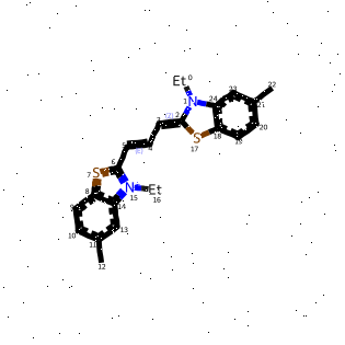 CCN1/C(=C/C=C/c2sc3ccc(C)cc3[n+]2CC)Sc2ccc(C)cc21